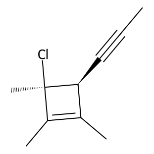 CC#C[C@H]1C(C)=C(C)[C@@]1(C)Cl